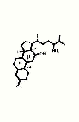 CC(C)C(N)CC[C@@H](C)[C@H]1CC[C@H]2[C@@H]3CCC4CC(O)CC[C@]4(C)[C@H]3CC(O)[C@]12C